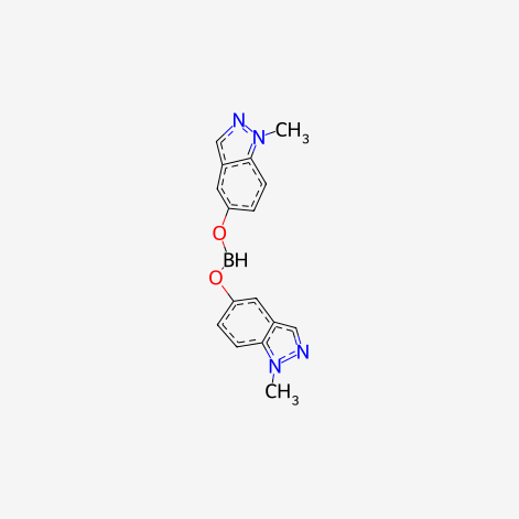 Cn1ncc2cc(OBOc3ccc4c(cnn4C)c3)ccc21